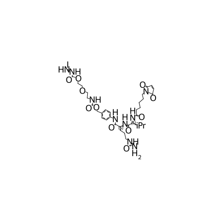 CC(C)[C@H](NC(=O)CCCCCN1C(=O)C=CC1=O)C(=O)N[C@@H](CCCNC(N)=O)C(=O)Nc1ccc(COC(=O)NCCOCCOC(=O)NNI)cc1